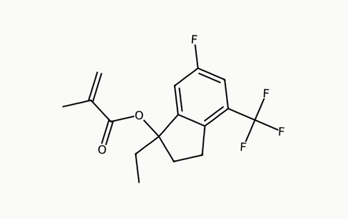 C=C(C)C(=O)OC1(CC)CCc2c(C(F)(F)F)cc(F)cc21